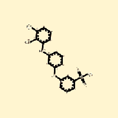 CS(=O)(=O)c1cccc(Oc2cccc(Nc3cccc(C(F)(F)F)c3[N+](=O)[O-])c2)c1